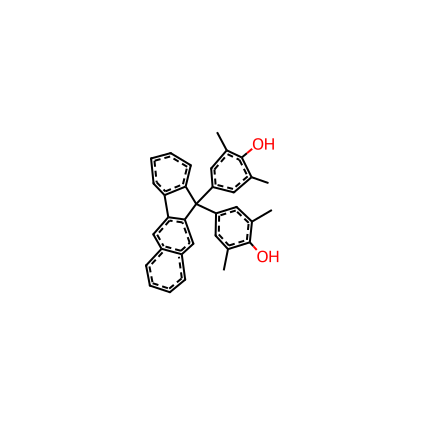 Cc1cc(C2(c3cc(C)c(O)c(C)c3)c3ccccc3-c3cc4ccccc4cc32)cc(C)c1O